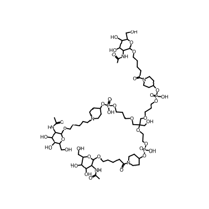 CC(=O)NC1C(OCCCCCN2CCC(OP(=O)(O)OCCCOCC(CO)(COCCCOP(=O)(O)OC3CCN(C(=O)CCCCOC4OC(CO)C(O)C(O)C4NC(C)=O)CC3)OCCOP(=O)(O)OC3CCN(C(=O)CCCCOC4OC(CO)C(O)C(O)C4NC(C)=O)CC3)CC2)OC(CO)C(O)C1O